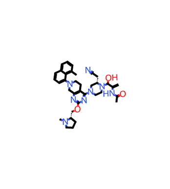 C=C(NC(C)=O)C(O)N1CCN(c2nc(OC[C@@H]3CCCN3C)nc3c2CCN(c2cccc4cccc(C)c24)C3)C[C@@H]1CC#N